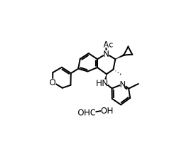 CC(=O)N1c2ccc(C3=CCOCC3)cc2[C@H](Nc2cccc(C)n2)[C@@H](C)[C@@H]1C1CC1.O=CO